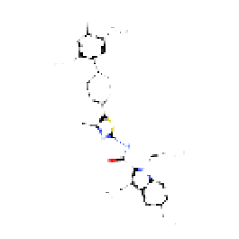 CCc1nc(NC(=O)c2c(C)c3cc(C)ccc3n2CC(=O)O)sc1C1CCC(c2cc(OC)c(Cl)cc2OC)CC1